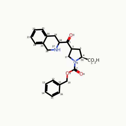 O=C(C1C[C@@H](C(=O)O)N(C(=O)OCc2ccccc2)C1)C1Cc2ccccc2CN1